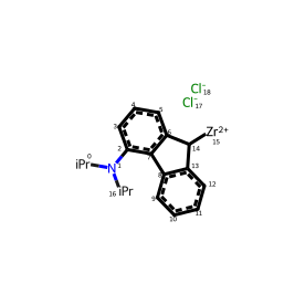 CC(C)N(c1cccc2c1-c1ccccc1[CH]2[Zr+2])C(C)C.[Cl-].[Cl-]